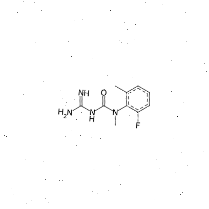 Cc1cccc(F)c1N(C)C(=O)NC(=N)N